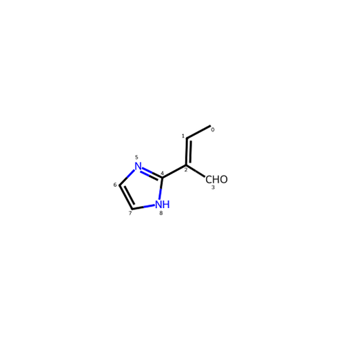 CC=C(C=O)c1ncc[nH]1